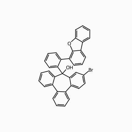 OC1(c2ccccc2-c2cccc3c2oc2ccccc23)c2ccccc2-c2ccccc2-c2ccc(Br)cc21